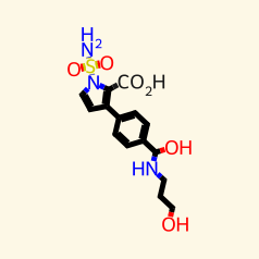 NS(=O)(=O)n1ccc(-c2ccc(C(O)NCCCO)cc2)c1C(=O)O